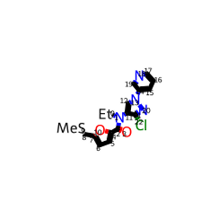 CCN(C(=O)c1ccc(CSC)o1)c1cn(-c2cccnc2)nc1Cl